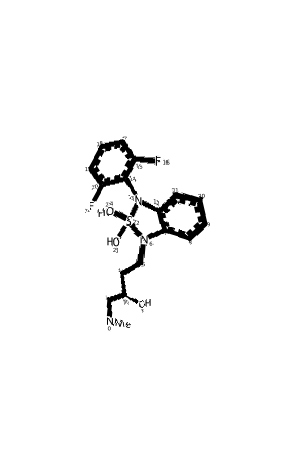 CNC[C@H](O)CCN1c2ccccc2N(c2c(F)cccc2F)S1(O)O